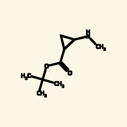 CNC1CC1C(=O)OC(C)(C)C